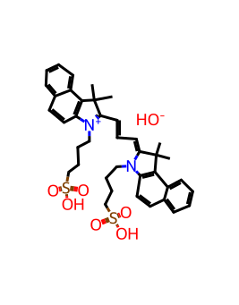 CC1(C)C(=CC=CC2=[N+](CCCCS(=O)(=O)O)c3ccc4ccccc4c3C2(C)C)N(CCCCS(=O)(=O)O)c2ccc3ccccc3c21.[OH-]